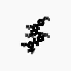 Bc1cc(NC(=O)c2ccc(C)c(N/C(N)=C3\N=C(N4CCN(C)CC4)N=C(N)\C3=N\C=C)c2)cc(C(F)(F)F)c1